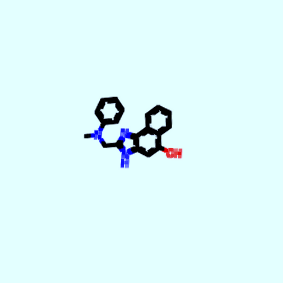 CN(Cc1nc2c(cc(O)c3ccccc32)[nH]1)c1ccccc1